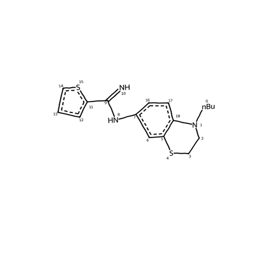 CCCCN1CCSc2cc(NC(=N)c3cccs3)ccc21